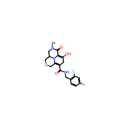 CC(C)N1CC2COCC3=C(C(=O)NCc4ccc(F)cc4F)CC(O)=C(C1=O)N32